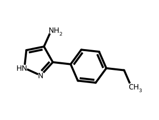 CCc1ccc(-c2n[nH]cc2N)cc1